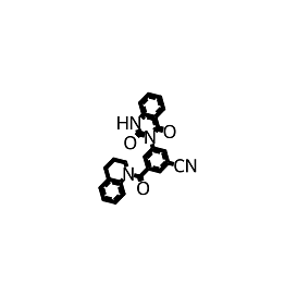 N#Cc1cc(C(=O)N2CCCc3ccccc32)cc(-n2c(=O)[nH]c3ccccc3c2=O)c1